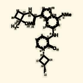 CNc1cc(Nc2cccn([C@H]3C[C@H](F)C3)c2=O)nc2c(C(=O)NC3CC[C@]3(C)OC)cnn12